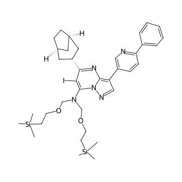 C[Si](C)(C)CCOCN(COCC[Si](C)(C)C)c1c(I)c([C@H]2C[C@@H]3CC[C@@H](C3)C2)nc2c(-c3ccc(-c4ccccc4)nc3)cnn12